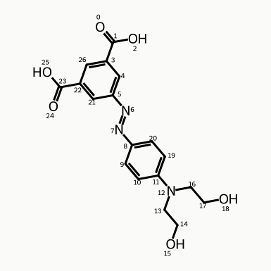 O=C(O)c1cc(N=Nc2ccc(N(CCO)CCO)cc2)cc(C(=O)O)c1